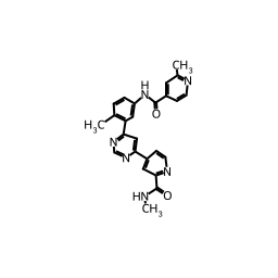 CNC(=O)c1cc(-c2cc(-c3cc(NC(=O)c4ccnc(C)c4)ccc3C)ncn2)ccn1